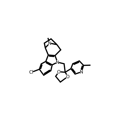 Cc1ccc(C2(Cn3c4c(c5cc(Cl)ccc53)C3CCC(C4)N3C)OCCO2)cn1